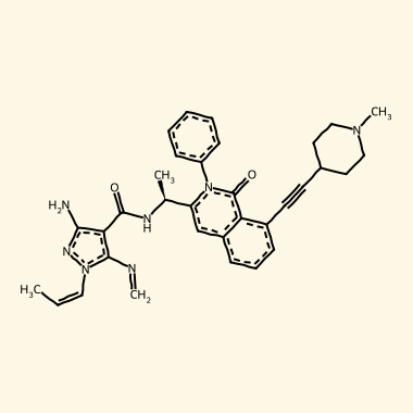 C=Nc1c(C(=O)N[C@@H](C)c2cc3cccc(C#CC4CCN(C)CC4)c3c(=O)n2-c2ccccc2)c(N)nn1/C=C\C